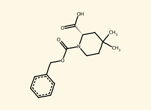 CC1(C)CCN(C(=O)OCc2ccccc2)[C@H](C(=O)O)C1